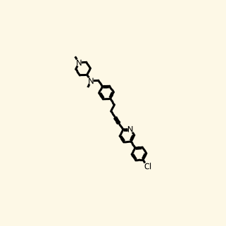 CN1CCC(N(C)Cc2ccc(CCC#Cc3ccc(-c4ccc(Cl)cc4)cn3)cc2)CC1